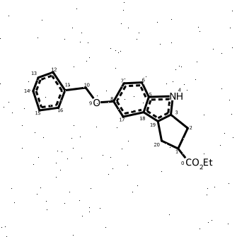 CCOC(=O)C1Cc2[nH]c3ccc(OCc4ccccc4)cc3c2C1